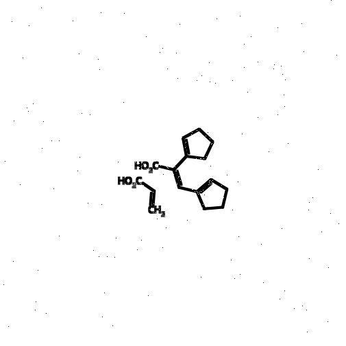 C=CC(=O)O.O=C(O)C(=CC1=CCCC1)C1=CCCC1